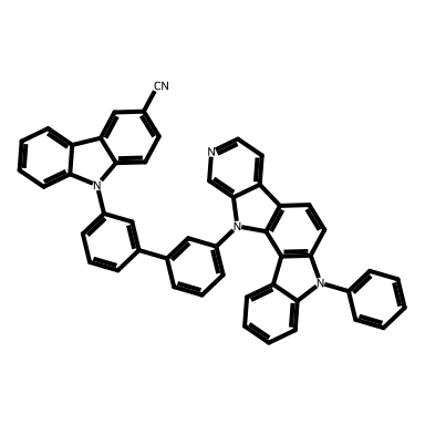 N#Cc1ccc2c(c1)c1ccccc1n2-c1cccc(-c2cccc(-n3c4cnccc4c4ccc5c(c6ccccc6n5-c5ccccc5)c43)c2)c1